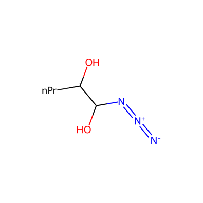 CCC[C](O)C(O)N=[N+]=[N-]